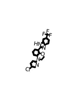 FC(F)(F)c1ccc2nc(-c3cccc4c3OCCN4c3ccc(Cl)cn3)[nH]c2c1